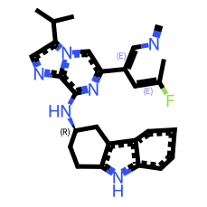 C=N/C=C(\C=C(/C)F)c1cn2c(C(C)C)cnc2c(N[C@@H]2CCc3[nH]c4ccccc4c3C2)n1